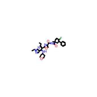 CCc1nc2c(cnn2CC)c(NC2CCOCC2)c1-c1nc(C(=O)NCC2(C=O)C=CC(F)=C(c3ccccc3)C2)co1